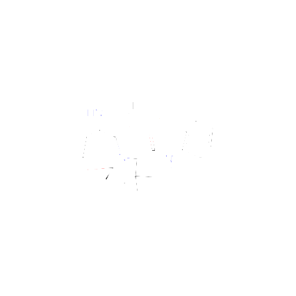 CC1(C)C[C@@H]2OCC[C@H](NC(=O)O)C(=O)N2C1C(=O)Nc1ccccc1Br